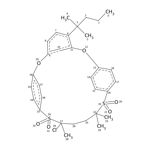 CCCC(C)(C)c1ccc2cc1Oc1ccc(cc1)S(=O)(=O)C(C)(C)CCC(C)(Cl)S(=O)(=O)c1ccc(cc1)O2